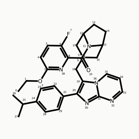 CCOc1ccc(F)c(C(=O)N2C3CCC2CN(Cc2c(-c4ccc(C(C)C)cc4)nc4ncccn24)C3)n1